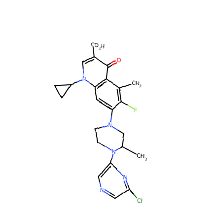 Cc1c(F)c(N2CCN(c3cncc(Cl)n3)C(C)C2)cc2c1c(=O)c(C(=O)O)cn2C1CC1